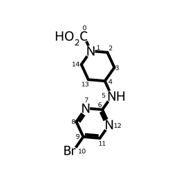 O=C(O)N1CCC(Nc2ncc(Br)cn2)CC1